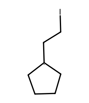 ICC[C]1CCCC1